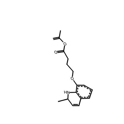 C=C(C)OC(=O)CCCOc1cccc2c1NC(C)C=C2